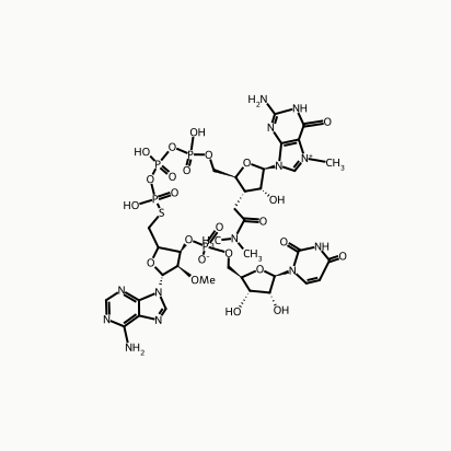 CO[C@@H]1[C@H](OP(=O)([O-])OC[C@H]2O[C@@H](n3ccc(=O)[nH]c3=O)[C@H](O)[C@@H]2O)C(CSP(=O)(O)OP(=O)(O)OP(=O)(O)OC[C@H]2O[C@@H](n3c[n+](C)c4c(=O)[nH]c(N)nc43)[C@H](O)[C@@H]2CC(=O)N(C)C)O[C@H]1n1cnc2c(N)ncnc21